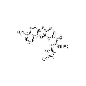 CC(=O)NC(=Cc1ccc(Cl)s1)C(=O)N1CCN(Cc2ccc3c(N)ncnc3c2)C(=O)C1